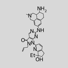 C=CCn1c(=O)c2cnc(Nc3cc4c5c(c3)CN(C)CC5C(N)CC4)nc2n1-c1ccc2c(n1)C(O)(CC)CC2